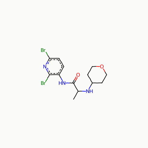 CC(NC1CCOCC1)C(=O)Nc1ccc(Br)nc1Br